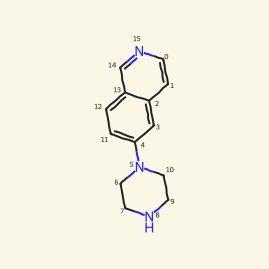 c1cc2cc(N3CCNCC3)ccc2cn1